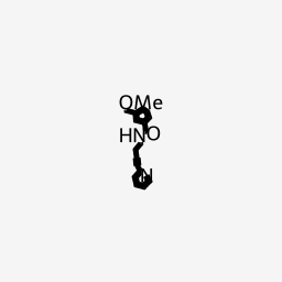 COCc1cccc(C(=O)NCCC#Cc2ccccn2)c1